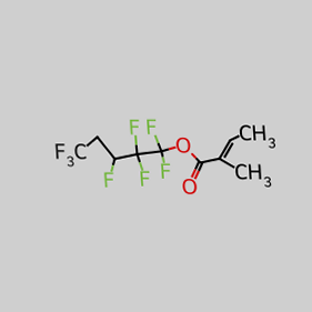 CC=C(C)C(=O)OC(F)(F)C(F)(F)C(F)CC(F)(F)F